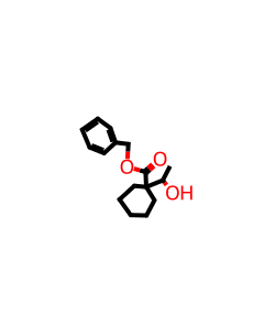 CC(O)C1(C(=O)OCc2ccccc2)CCCCC1